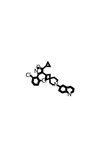 Clc1cccc(Cl)c1-c1noc(C2CC2)c1C1=CC2(CCN(c3ccc4ncccc4c3)CC2)C1